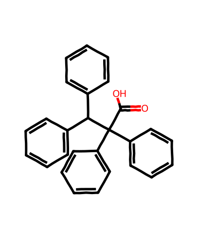 O=C(O)C(c1ccccc1)(c1ccccc1)C(c1ccccc1)c1ccccc1